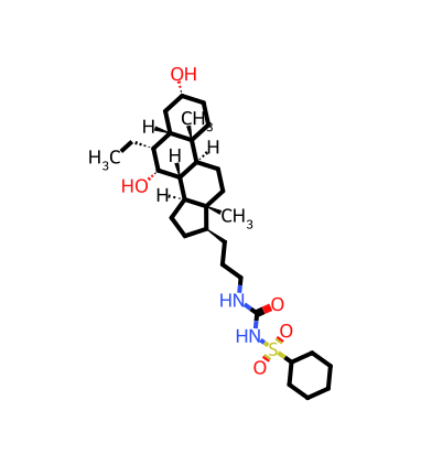 CC[C@H]1[C@@H](O)[C@@H]2[C@H](CC[C@]3(C)[C@@H](CCCNC(=O)NS(=O)(=O)C4CCCCC4)CC[C@@H]23)[C@@]2(C)CC[C@@H](O)C[C@@H]12